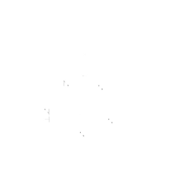 CCNc1nc(=S)n(Cc2ccccc2)c2nc[nH]c12